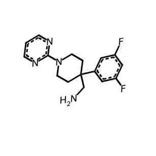 NCC1(c2cc(F)cc(F)c2)CCN(c2ncccn2)CC1